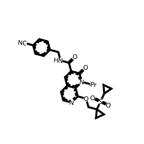 CC(C)n1c(=O)c(C(=O)NCc2ccc(C#N)cc2)cc2ccnc(OCC3(S(=O)(=O)C4CC4)CC3)c21